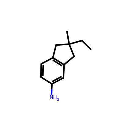 CCC1(C)Cc2ccc(N)cc2C1